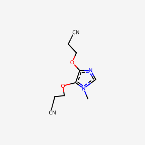 Cn1cnc(OCCC#N)c1OCCC#N